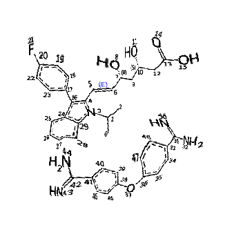 CC(C)n1c(/C=C/[C@H](O)C[C@H](O)CC(=O)O)c(-c2ccc(F)cc2)c2ccccc21.N=C(N)c1ccc(Oc2ccc(C(=N)N)cc2)cc1